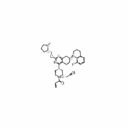 C=CC(=O)N1CCN(c2nc(OC[C@@H]3CCCN3C)nc3c2CC[C@H](N2CCCc4cccc(F)c42)C3)C[C@@H]1CC#N